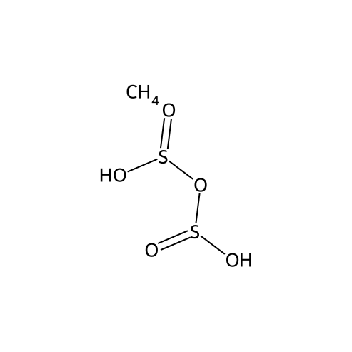 C.O=S(O)OS(=O)O